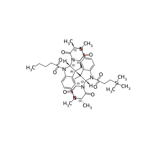 CCCCS(=O)(=O)N1c2ccccc2[C@@]2(C34C[C@@]56SS[C@@](C)(C(=O)N5[C@H]3N(S(=O)(=O)CC[Si](C)(C)C)c3ccccc34)N(C)C6=O)C[C@@]34SS[C@@](C)(C(=O)N3[C@@H]12)N(C)C4=O